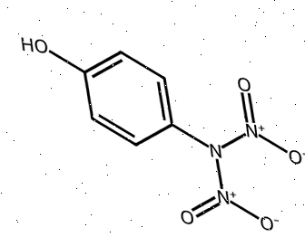 O=[N+]([O-])N(c1ccc(O)cc1)[N+](=O)[O-]